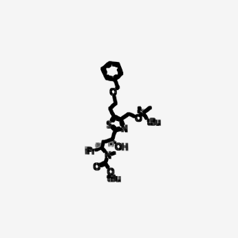 CC(C)[C@@H](C[C@@H](O)c1nc(CO[Si](C)(C)C(C)(C)C)c(CCOCc2ccccc2)s1)N(C)C(=O)OC(C)(C)C